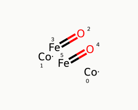 [Co].[Co].[O]=[Fe].[O]=[Fe]